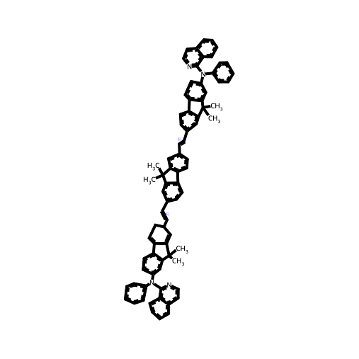 CC1(C)C2=CC(/C=C/c3ccc4c(c3)C(C)(C)c3cc(/C=C/c5ccc6c(c5)C(C)(C)c5cc(N(c7ccccc7)c7nccc8ccccc78)ccc5-6)ccc3-4)CC=C2c2ccc(N(c3ccccc3)c3nccc4ccccc34)cc21